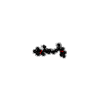 c1ccc(-c2cc(-c3ccc(-c4cccc5c4C(c4ccccc4)(c4ccccc4)c4ccccc4-5)c4ccccc34)nc(-c3cccc4c(-c5cccc(-c6ccc(-c7cc(-c8ccc(-c9cccc%10c9C(c9ccccc9)(c9ccccc9)c9ccccc9-%10)c9ccccc89)nc(-c8ccccc8)n7)cc6)c5)cccc34)n2)cc1